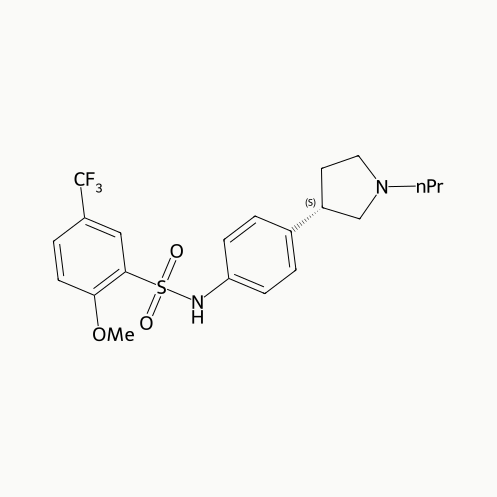 CCCN1CC[C@@H](c2ccc(NS(=O)(=O)c3cc(C(F)(F)F)ccc3OC)cc2)C1